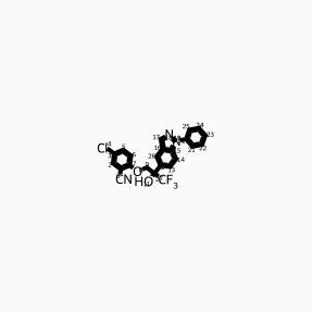 N#Cc1cc(Cl)ccc1OCC(O)(c1ccc2c(cnn2-c2ccccc2)c1)C(F)(F)F